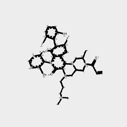 C=CC(=O)N1CC2CN(CCCN(C)C)c3c(c4cc(F)c(-c5c(O)cccc5F)c(Cl)c4n(-c4c(C(C)C)ncnc4C(C)C)c3=O)N2CC1C